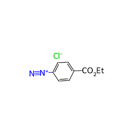 CCOC(=O)c1ccc([N+]#N)cc1.[Cl-]